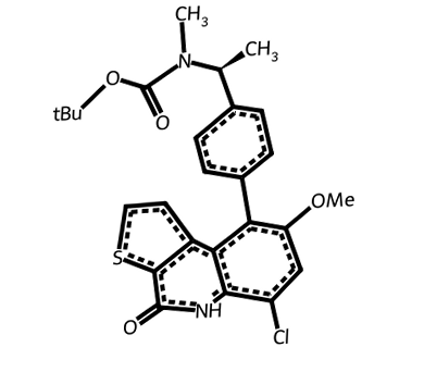 COc1cc(Cl)c2[nH]c(=O)c3sccc3c2c1-c1ccc([C@H](C)N(C)C(=O)OC(C)(C)C)cc1